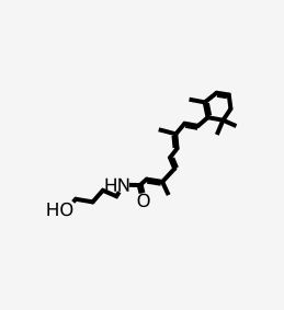 CC(C=CC1=C(C)C=CCC1(C)C)=CC=CC(C)=CC(=O)NCCCCO